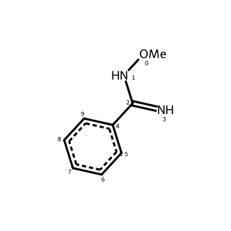 CONC(=N)c1[c]cccc1